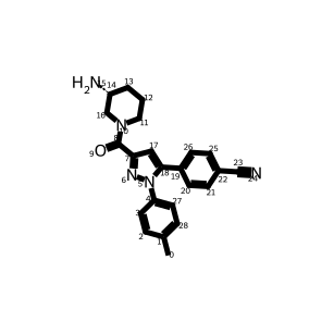 Cc1ccc(-n2nc(C(=O)N3CCC[C@@H](N)C3)cc2-c2ccc(C#N)cc2)cc1